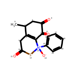 CC1CC(=O)C(=O)C2=C1CC(=O)S[N+]2([O-])c1ccccc1